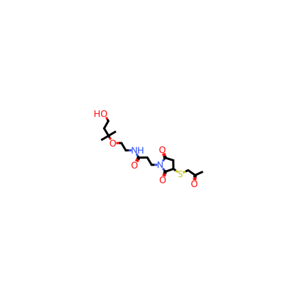 CC(=O)CSC1CC(=O)N(CCC(=O)NCCOC(C)(C)CCO)C1=O